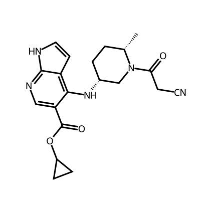 C[C@H]1CC[C@@H](Nc2c(C(=O)OC3CC3)cnc3[nH]ccc23)CN1C(=O)CC#N